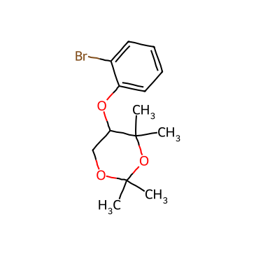 CC1(C)OCC(Oc2ccccc2Br)C(C)(C)O1